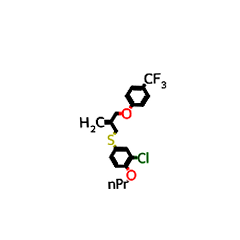 C=C(COc1ccc(C(F)(F)F)cc1)CSc1ccc(OCCC)c(Cl)c1